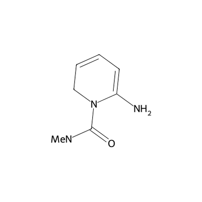 CNC(=O)N1CC=CC=C1N